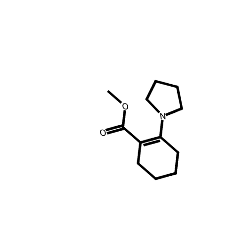 COC(=O)C1=C(N2CCCC2)CCCC1